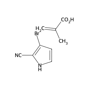 C=C(C)C(=O)O.N#Cc1[nH]ccc1Br